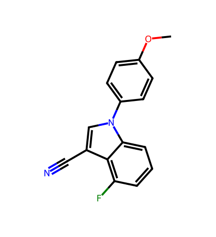 COc1ccc(-n2cc(C#N)c3c(F)cccc32)cc1